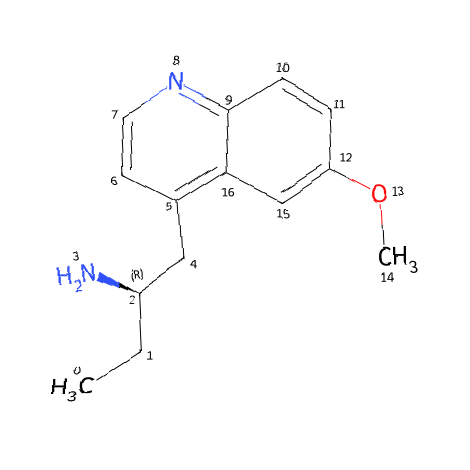 CC[C@@H](N)Cc1ccnc2ccc(OC)cc12